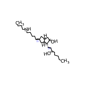 CCCCC[C@H](O)/C=C/[C@@H]1[C@H]2C/C(=C/CCCCNCCCC)C[C@H]2C[C@H]1O